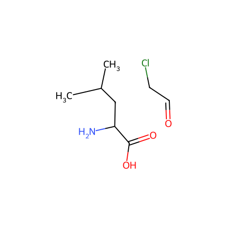 CC(C)CC(N)C(=O)O.O=CCCl